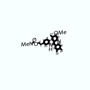 CNC(=O)OCCc1cccc(Nc2c3cc(C)c(C)cc3nc3cc(OC)c(C)cc23)c1